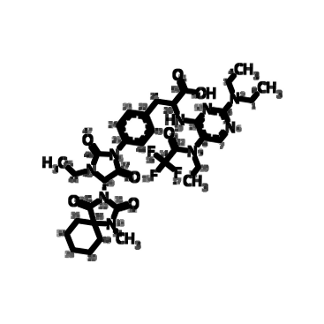 CCN(CC)c1ncc(N(CC)C(=O)C(F)(F)F)c(NC(Cc2ccc(N3C(=O)[C@H](N4C(=O)N(C)C5(CCCCC5)C4=O)N(CC)C3=O)cc2)C(=O)O)n1